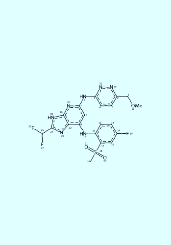 COCc1ccc(Nc2cc(Nc3ccc(F)cc3S(C)(=O)=O)c3nc(C(F)F)[nH]c3n2)nn1